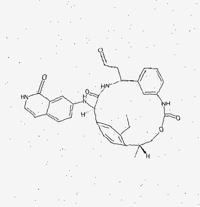 CCc1cc2ccc1[C@@H](C)COC(=O)Nc1cccc(c1)C(CC=O)NC(=O)[C@@H]2Nc1ccc2cc[nH]c(=O)c2c1